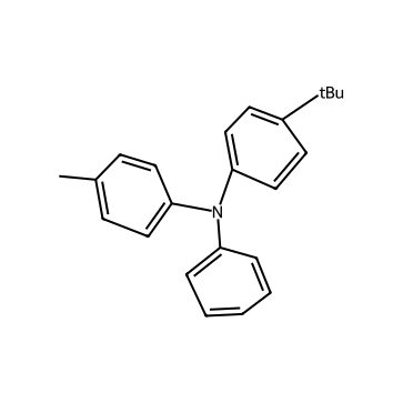 Cc1ccc(N(c2ccccc2)c2ccc(C(C)(C)C)cc2)cc1